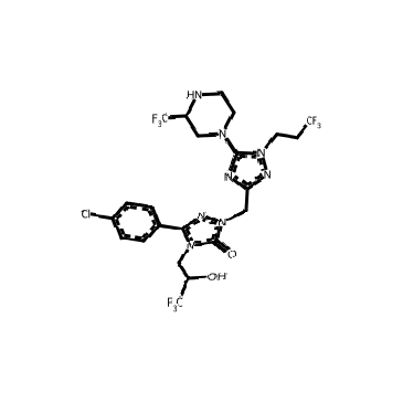 O=c1n(Cc2nc(N3CCNC(C(F)(F)F)C3)n(CCC(F)(F)F)n2)nc(-c2ccc(Cl)cc2)n1CC(O)C(F)(F)F